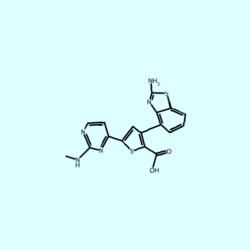 CNc1nccc(-c2cc(-c3cccc4sc(N)nc34)c(C(=O)O)s2)n1